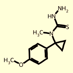 COc1ccc(C2(N(C)C(=S)NN)CC2)cc1